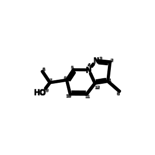 Cc1cnn2cc(C(C)O)ccc12